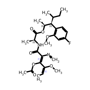 C=N/C(C(=O)N[C@@H](C)C(=O)O[C@@H](C)[C@H](c1ccc(F)cc1OC)C(C)CC)=C(OC(C)=O)\C(=C/C)OC